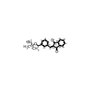 CC(C)(C)[Si](C)(C)OCc1cccc(C=C2C(=O)c3ccccc3C2=O)c1